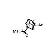 COC(=O)C1CC2C=CC1N(C(C)=O)C2